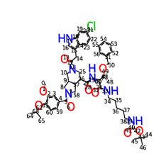 COc1cc(C(=O)N2CC3CN(C(=O)Cc4c[nH]c5cc(Cl)ccc45)CC(C(=O)N[C@H](C(=O)NCCCCCNC(=O)OC(C)(C)C)[C@@H](C)OCc4ccccc4)C3C2)ccc1OC(C)C